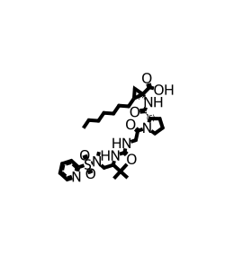 CCCCCCCC1C[C@]1(NC(=O)[C@@H]1CCCN1C(=O)CNC(=O)NC(CN(C)S(=O)(=O)c1ccccn1)C(C)(C)C)C(=O)O